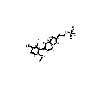 COc1ccc(Cl)c(Cl)c1-c1ccn2cc(CCOS(C)(=O)=O)nc2c1